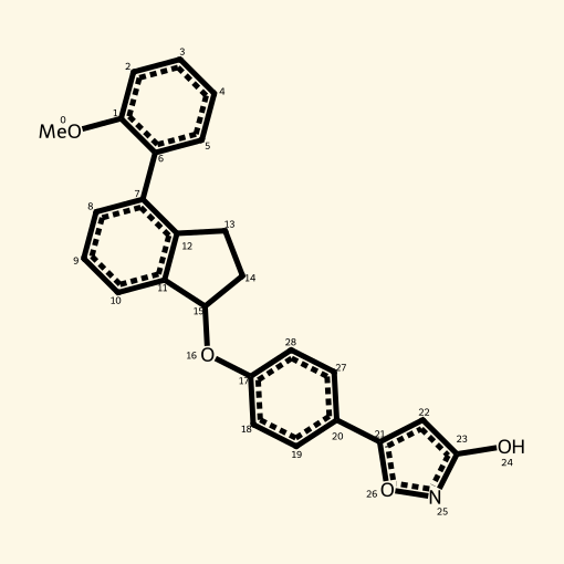 COc1ccccc1-c1cccc2c1CCC2Oc1ccc(-c2cc(O)no2)cc1